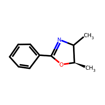 CC1N=C(c2ccccc2)O[C@@H]1C